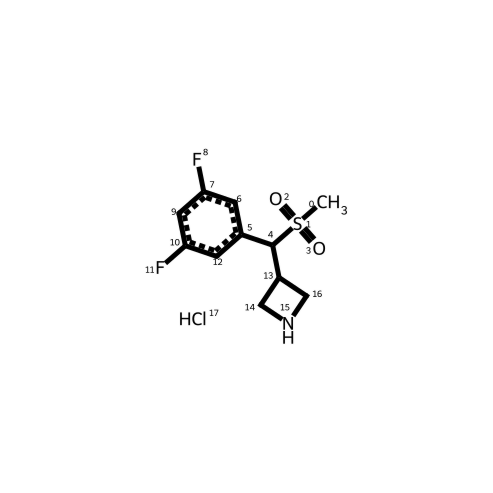 CS(=O)(=O)C(c1cc(F)cc(F)c1)C1CNC1.Cl